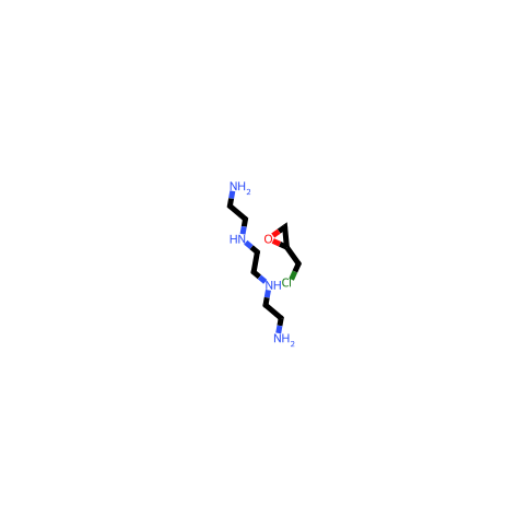 ClCC1CO1.NCCNCCNCCN